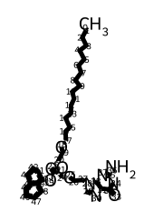 CCCCCCCCCCCCCCCCCCOCCOP(=O)(COCCN1C=NC2C(=O)N=C(N)N=C21)Oc1cccc2ccccc12